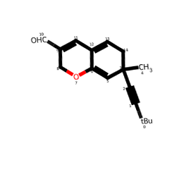 CC(C)(C)C#CC1(C)C=C2OCC(C=O)=CC2=CC1